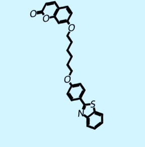 O=c1ccc2ccc(OCCCCCCOc3ccc(-c4nc5ccccc5s4)cc3)cc2o1